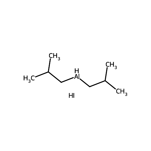 CC(C)[CH2][AlH][CH2]C(C)C.I